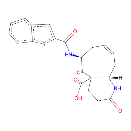 O=C1CCC2(C(=O)O)C(=O)[C@@H](NC(=O)c3cc4ccccc4s3)CC=CC[C@@H]2N1